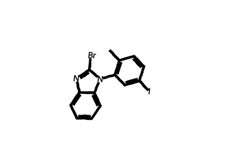 Cc1ccc(I)cc1-n1c(Br)nc2ccccc21